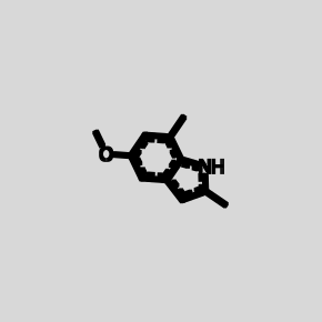 COc1cc(C)c2[nH]c(C)cc2c1